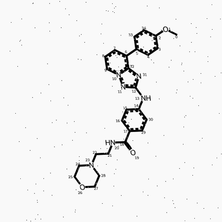 COc1ccc(-c2cccn3nc(Nc4ccc(C(=O)NCCN5CCOCC5)cc4)nc23)cc1